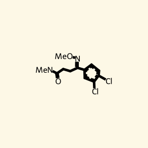 CNC(=O)CC/C(=N\OC)c1ccc(Cl)c(Cl)c1